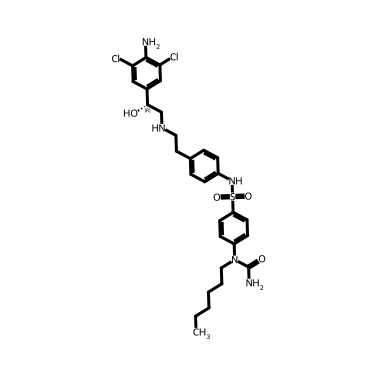 CCCCCCN(C(N)=O)c1ccc(S(=O)(=O)Nc2ccc(CCNC[C@H](O)c3cc(Cl)c(N)c(Cl)c3)cc2)cc1